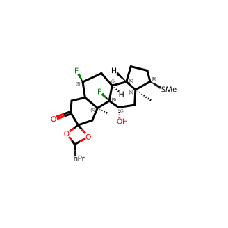 CCCC1OC2(C[C@@]3(C)C(CC2=O)[C@@H](F)C[C@H]2[C@@H]4CC[C@@H](SC)[C@@]4(C)C[C@H](O)[C@@]23F)O1